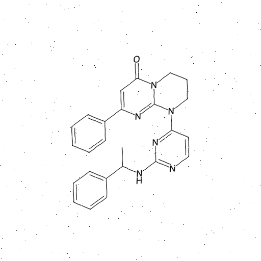 CC(Nc1nccc(N2CCCn3c2nc(-c2ccccc2)cc3=O)n1)c1ccccc1